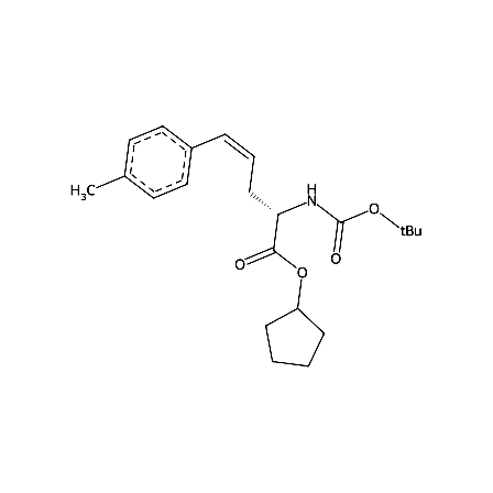 Cc1ccc(/C=C\C[C@H](NC(=O)OC(C)(C)C)C(=O)OC2CCCC2)cc1